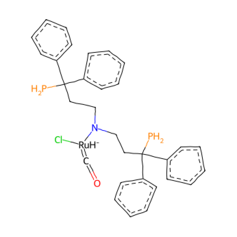 O=[C]=[RuH-]([Cl])[N](CCC(P)(c1ccccc1)c1ccccc1)CCC(P)(c1ccccc1)c1ccccc1